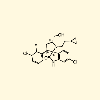 O=C1Nc2cc(Cl)ccc2[C@@]12[C@@H](C1=CC=CC(Cl)C1F)C[C@H](CO)N2CCC1CC1